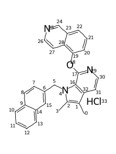 Cc1c(C)n(Cc2ccc3ccccc3c2)c2c(Oc3cccc4cnccc34)nccc12.Cl